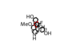 COC(C[C@@H]1CNC[C@H](N2CCCC(O)C2)C1c1cccc(F)c1C)C(=O)N1CCCC(O)C1